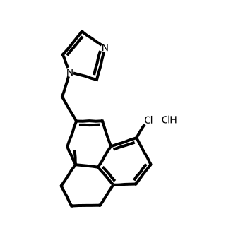 CC12CCCc3ccc(Cl)c(c31)C=C(Cn1ccnc1)C2.Cl